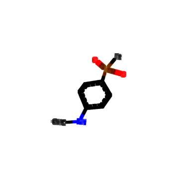 CCS(=O)(=O)c1ccc(N[C]=O)cc1